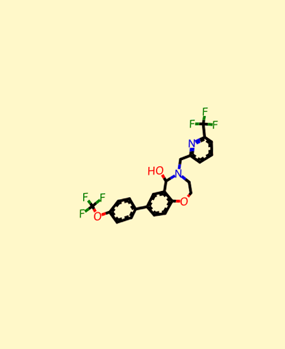 OC1c2cc(-c3ccc(OC(F)(F)F)cc3)ccc2OCCN1Cc1cccc(C(F)(F)F)n1